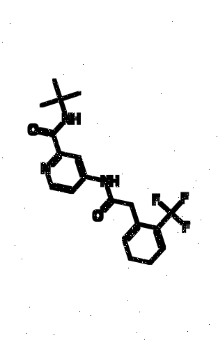 CC(C)(C)NC(=O)c1cc(NC(=O)CC2=CCCC=C2C(F)(F)F)ccn1